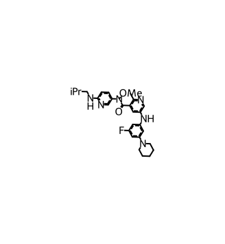 CON(C(=O)c1cc(Nc2cc(F)cc(N3CCCCC3)c2)cnc1C)c1ccc(NCC(C)C)nc1